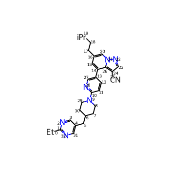 CCc1ncc(CC2CCN(c3ccc(-c4cc(CCC(C)C)cn5ncc(C#N)c45)cn3)CC2)cn1